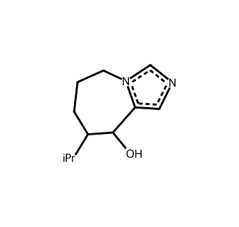 CC(C)C1CCCn2cncc2C1O